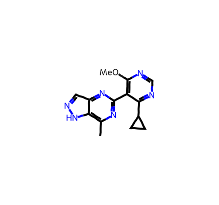 COc1ncnc(C2CC2)c1-c1nc(C)c2[nH]ncc2n1